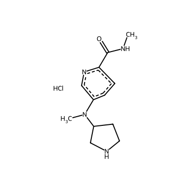 CNC(=O)c1ccc(N(C)C2CCNC2)cn1.Cl